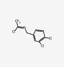 FC(F)(F)C(Cl)=NCc1ccc(Cl)c(Cl)c1